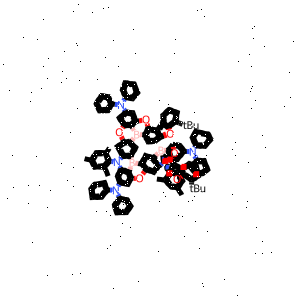 Cc1cc(C)c(N2c3cc4c(cc3B3c5cc6c(cc5Oc5cc(N(c7ccccc7)c7ccccc7)cc2c53)N(c2c(C)cc(C)cc2C)c2cc(N(c3ccccc3)c3ccccc3)cc3c2B6c2ccc5oc6c(C(C)(C)C)cccc6c5c2O3)B2c3ccc5oc6c(C(C)(C)C)cccc6c5c3Oc3cc(N(c5ccccc5)c5ccccc5)cc(c32)O4)c(C)c1